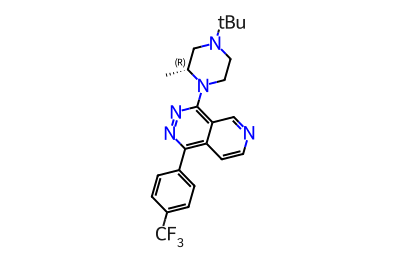 C[C@@H]1CN(C(C)(C)C)CCN1c1nnc(-c2ccc(C(F)(F)F)cc2)c2ccncc12